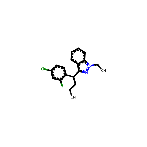 N#CCCC(c1ccc(Cl)cc1F)c1nn(CC#N)c2ccccc12